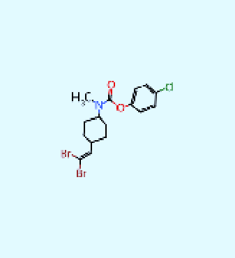 CN(C(=O)Oc1ccc(Cl)cc1)C1CCC(C=C(Br)Br)CC1